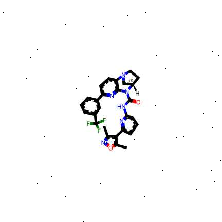 Cc1noc(C)c1-c1cccc(NC(=O)N2c3nc(-c4cccc(C(F)(F)F)c4)ccc3N3CC[C@H]2C3)n1